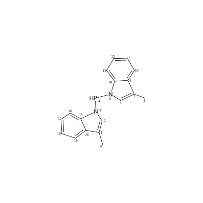 Cc1cn(Pn2cc(C)c3ccccc32)c2ccccc12